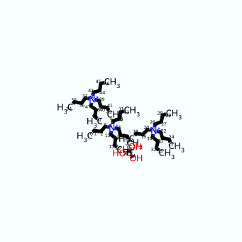 CCCC[N+](CCCC)(CCCC)CCCC.CCCC[N+](CCCC)(CCCC)CCCC.CCCC[N+](CCCC)(CCCC)CCCC.OB(O)O